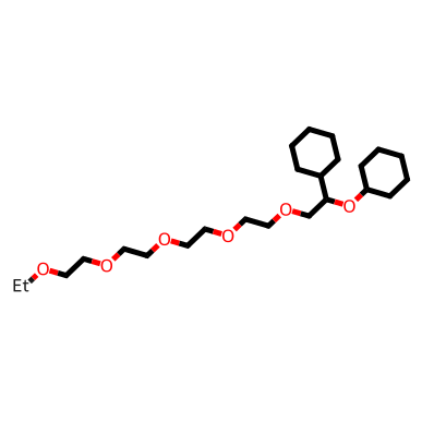 CCOCCOCCOCCOCCOCC(OC1CCCCC1)C1CCCCC1